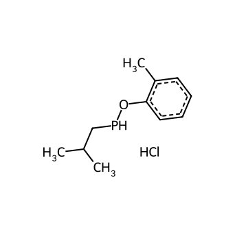 Cc1ccccc1OPCC(C)C.Cl